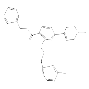 CN1CC=C(c2ccc(C(=O)NCc3cccnc3)c(NCCc3cccc(F)c3)n2)CC1